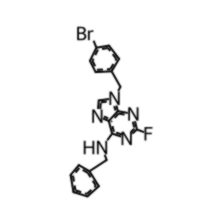 Fc1nc(NCc2ccccc2)c2ncn(Cc3ccc(Br)cc3)c2n1